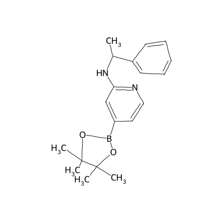 CC(Nc1cc(B2OC(C)(C)C(C)(C)O2)ccn1)c1ccccc1